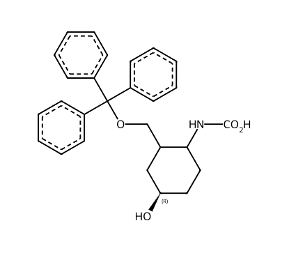 O=C(O)NC1CC[C@@H](O)CC1COC(c1ccccc1)(c1ccccc1)c1ccccc1